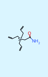 C=CC[Si](CC=C)(CC=C)CC(N)=O